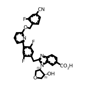 N#Cc1ccc(COc2cccc(-c3cc(F)c(Cc4nc5ccc(C(=O)O)cc5n4[C@H]4COC[C@H]4O)cc3F)n2)c(F)c1